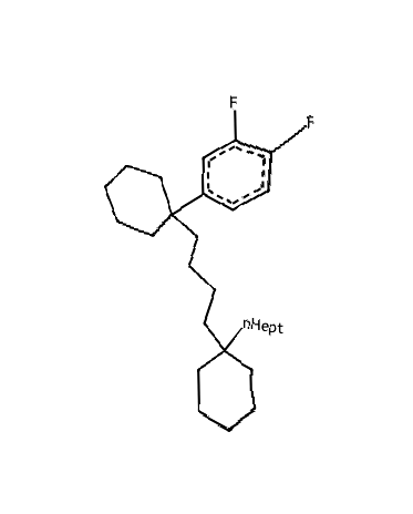 CCCCCCCC1(CCCCC2(c3ccc(F)c(F)c3)CCCCC2)CCCCC1